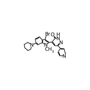 Cn1c(-c2cc(-c3ccncc3)n[nH]c2=O)c(Br)c2ccc(N3CCCCC3)cc21